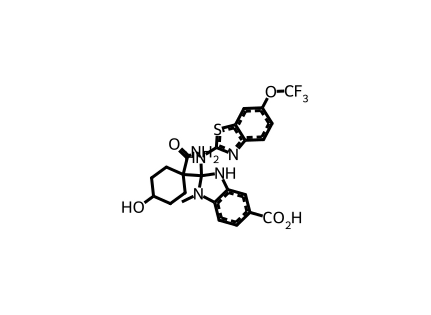 CN1c2ccc(C(=O)O)cc2NC1(Nc1nc2ccc(OC(F)(F)F)cc2s1)C1(C(N)=O)CCC(O)CC1